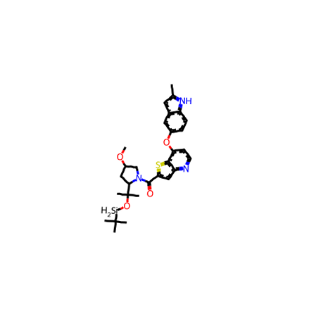 COC1CC(C(C)(C)O[SiH2]C(C)(C)C)N(C(=O)c2cc3nccc(Oc4ccc5[nH]c(C)cc5c4)c3s2)C1